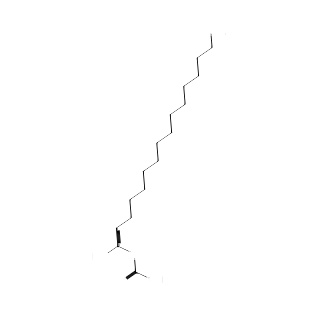 CCCCCCCCCCCCCCC=C(C)OC(C)=O